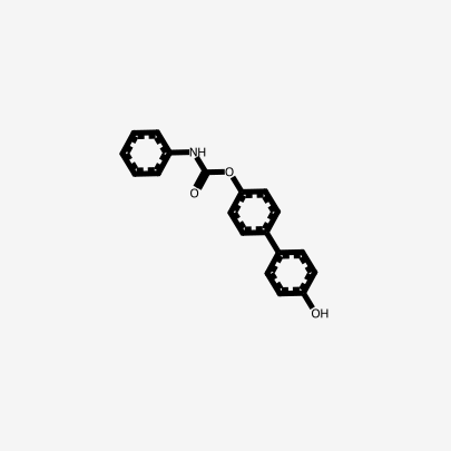 O=C(Nc1ccccc1)Oc1ccc(-c2ccc(O)cc2)cc1